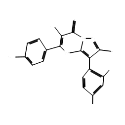 CCc1nn2c(=O)c(C)c(-c3ccc(C#N)cc3)[nH]c2c1-c1ccc(Cl)cc1Cl